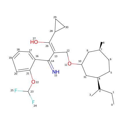 CCC(C)[C@@H]1CC[C@H](C)CC(OC/C(C(=N)c2ccccc2OC(F)F)=C(/O)C2CC2)C1